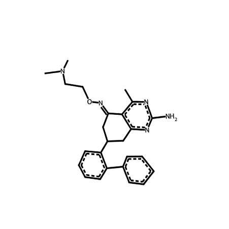 Cc1nc(N)nc2c1C(=NOCCN(C)C)CC(c1ccccc1-c1ccccc1)C2